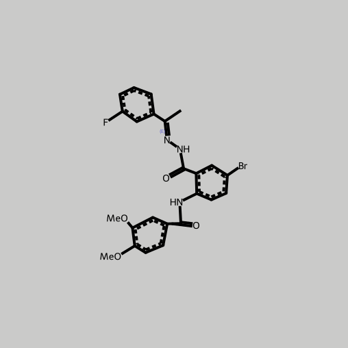 COc1ccc(C(=O)Nc2ccc(Br)cc2C(=O)N/N=C(\C)c2cccc(F)c2)cc1OC